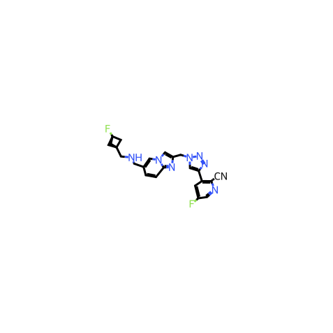 N#Cc1ncc(F)cc1-c1cn(Cc2cn3cc(CNCC45CC(F)(C4)C5)ccc3n2)nn1